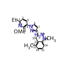 CCc1ccc(-n2ccc(SCc3c(C)cccc3N(C)N)n2)c(OC)n1